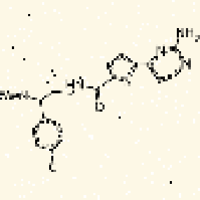 CNC(CCNC(=O)c1ccc(-c2ccnc(N)n2)s1)c1ccc(Cl)cc1